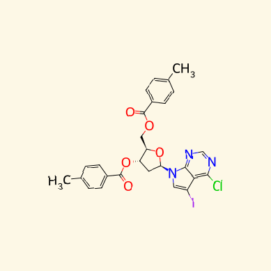 Cc1ccc(C(=O)OC[C@H]2O[C@@H](n3cc(I)c4c(Cl)ncnc43)C[C@@H]2OC(=O)c2ccc(C)cc2)cc1